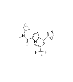 CN(C(=O)c1cnc2c(-c3cnco3)cc(C(F)(F)F)cn12)C1COC1